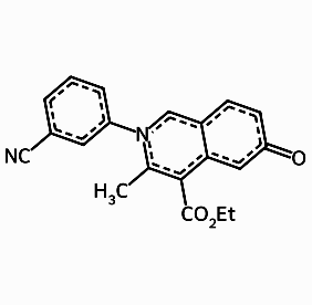 CCOC(=O)c1c2cc(=O)ccc-2cn(-c2cccc(C#N)c2)c1C